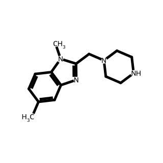 Cc1ccc2c(c1)nc(CN1CCNCC1)n2C